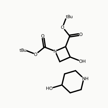 CC(C)(C)OC(=O)C1C(O)CN1C(=O)OC(C)(C)C.OC1CCNCC1